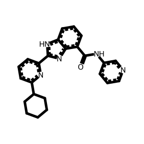 O=C(Nc1cccnc1)c1cccc2[nH]c(-c3cccc(C4CCCCC4)n3)nc12